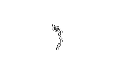 COc1cc(-c2ccc(OCCN3[C@H](C)CN(C(C)=O)C[C@@H]3C)cc2)ccc1-c1cn(C)c(=O)c2c1ccn2S(=O)(=O)c1ccc(C)cc1